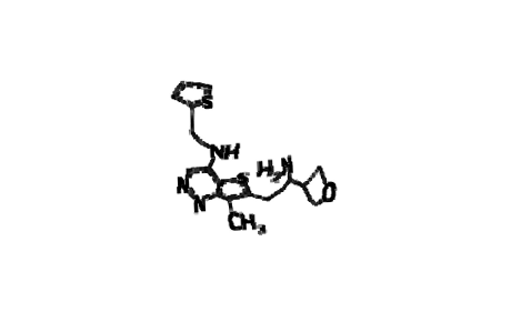 Cc1c(CC(N)C2COC2)sc2c(NCc3cccs3)cnnc12